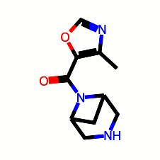 Cc1ncoc1C(=O)N1C2CNCC1C2